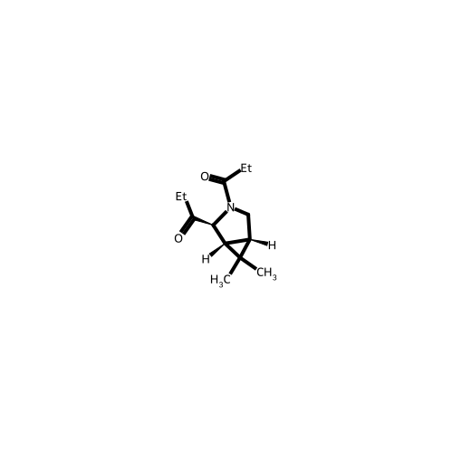 CCC(=O)[C@@H]1[C@@H]2[C@H](CN1C(=O)CC)C2(C)C